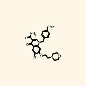 COc1ccc(Cn2cc(C(N)=O)c(=O)c3cc(O)c(OCCN4CCOCC4)cc32)cc1